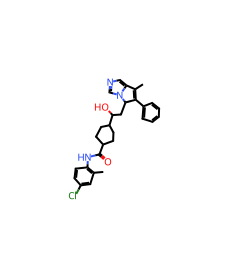 CC1=C(c2ccccc2)C(CC(O)C2CCC(C(=O)Nc3ccc(Cl)cc3C)CC2)n2cncc21